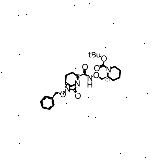 CC(C)(C)OC(=O)N1CCCC[C@H]1CONC(=O)[C@@H]1CCC2CN1C(=O)N2OCc1ccccc1